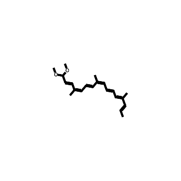 CC=CC(C)=CC=CC=C(C)C=CC=C(C)C=CC(OC)OC